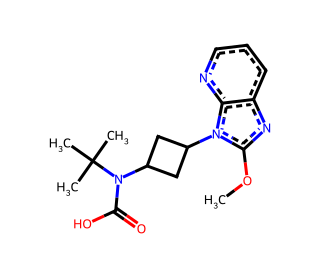 COc1nc2cccnc2n1C1CC(N(C(=O)O)C(C)(C)C)C1